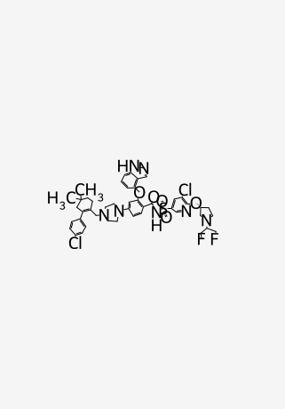 CC1(C)CCC(CN2CCN(c3ccc(C(=O)NS(=O)(=O)c4cnc(O[C@@H]5CCN(C(CF)CF)C5)c(Cl)c4)c(Oc4cccc5[nH]ncc45)c3)CC2)=C(c2ccc(Cl)cc2)C1